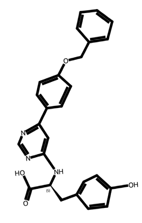 O=C(O)[C@H](Cc1ccc(O)cc1)Nc1cc(-c2ccc(OCc3ccccc3)cc2)ncn1